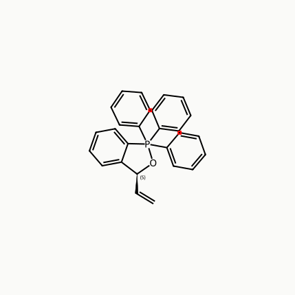 C=C[C@@H]1OP(c2ccccc2)(c2ccccc2)(c2ccccc2)c2ccccc21